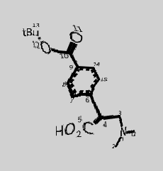 CN(C)CC(C(=O)O)c1ccc(C(=O)OC(C)(C)C)cc1